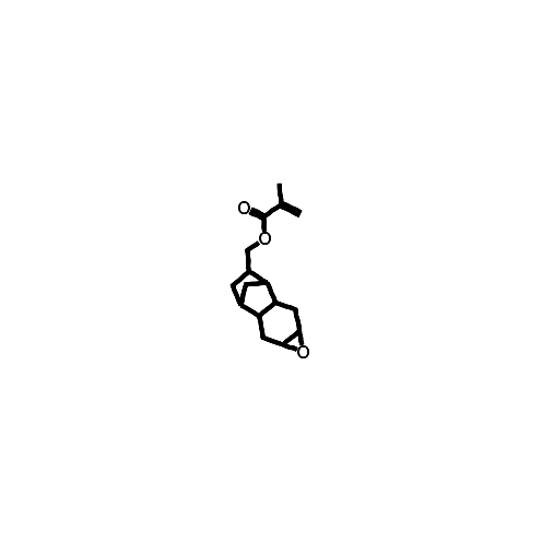 C=C(C)C(=O)OCC1CC2CC1C1CC3OC3CC21